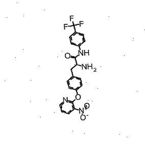 N[C@@H](Cc1ccc(Oc2ncccc2[N+](=O)[O-])cc1)C(=O)Nc1ccc(C(F)(F)F)cc1